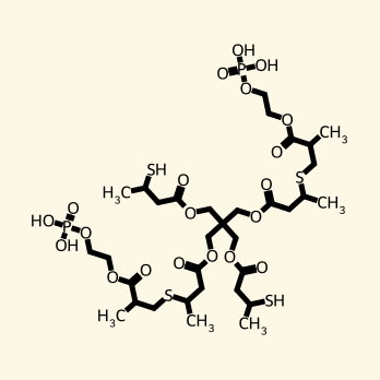 CC(S)CC(=O)OCC(COC(=O)CC(C)S)(COC(=O)CC(C)SCC(C)C(=O)OCCOP(=O)(O)O)COC(=O)CC(C)SCC(C)C(=O)OCCOP(=O)(O)O